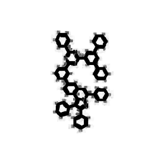 c1ccc(-c2cc(-c3ccccc3)cc(-c3nc(-c4ccccc4)nc(-c4cccc(-c5ccc6c(c5)cc(-c5ccccc5)n5nc(-c7ccccc7)c(-c7ccccc7)c65)c4)n3)c2)cc1